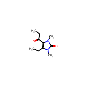 CCC(=O)c1c(CC)n(C)c(=O)n1C